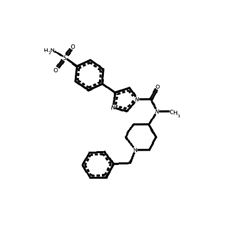 CN(C(=O)n1cnc(-c2ccc(S(N)(=O)=O)cc2)c1)C1CCN(Cc2ccccc2)CC1